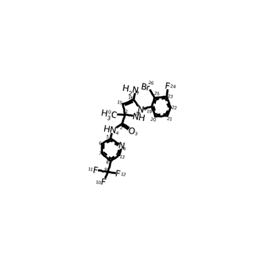 CC1(C(=O)Nc2ccc(C(F)(F)F)cn2)C=C(N)N(c2cccc(F)c2Br)N1